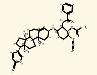 CC(=O)O[C@H]1[C@@H](N=[N+]=[N-])COC(O[C@@H]2C=C3CCC4C(CC[C@]5(C)[C@@H](c6ccc(=O)oc6)CC[C@]45O)[C@@]3(C)CC2)[C@H]1OC(=O)c1ccccc1